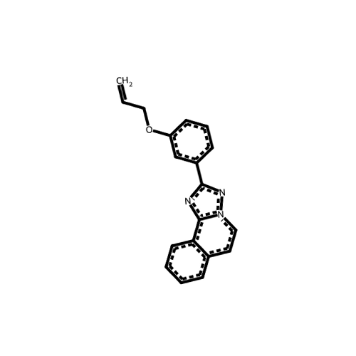 C=CCOc1cccc(-c2nc3c4ccccc4ccn3n2)c1